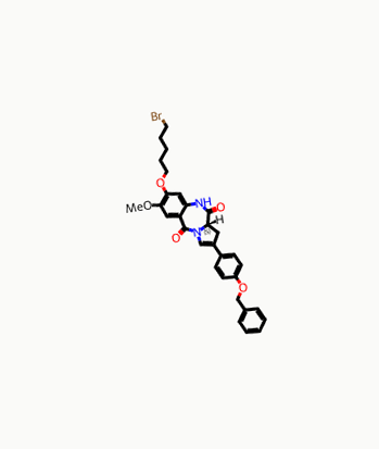 COc1cc2c(cc1OCCCCCBr)NC(=O)[C@@H]1CC(c3ccc(OCc4ccccc4)cc3)=CN1C2=O